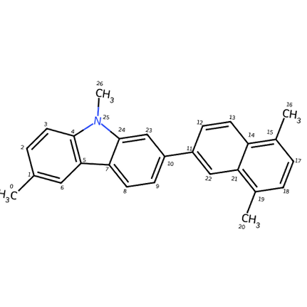 Cc1ccc2c(c1)c1ccc(-c3ccc4c(C)ccc(C)c4c3)cc1n2C